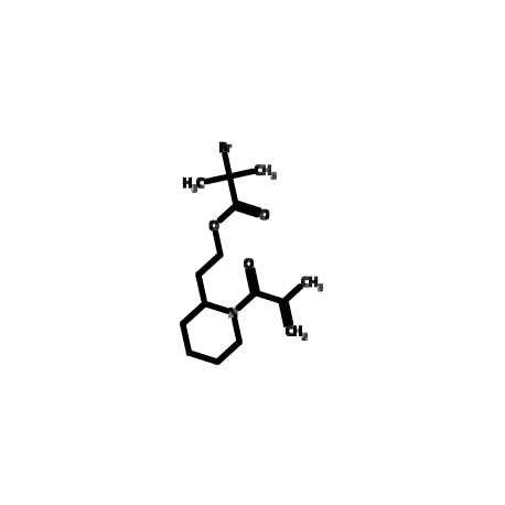 C=C(C)C(=O)N1CCCCC1CCOC(=O)C(C)(C)Br